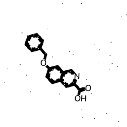 O=C(O)c1cc2ccc(OCc3ccccc3)cc2cn1